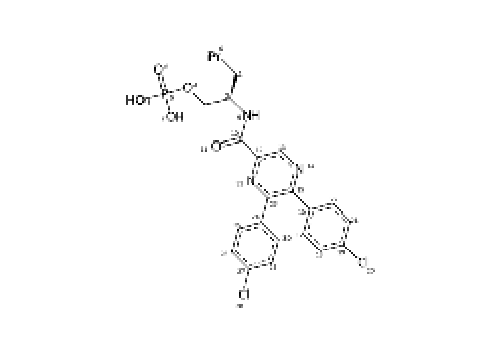 CC(C)C[C@H](COP(=O)(O)O)NC(=O)c1cnc(-c2ccc(Cl)cc2)c(-c2ccc(Cl)cc2)n1